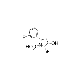 CC(C)[C@H]1[C@H](O)C[C@@H](c2cccc(F)c2)N1C(=O)O